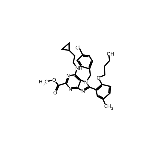 COC(=O)c1nc(NCCC2CC2)c2c(n1)nc(-c1cc(C)ccc1OCCCO)n2Cc1ccc(Cl)cc1